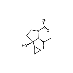 CC(C)[C@@H]1N(C(=O)O)CC[C@@]1(O)C1CC1